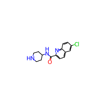 O=C(NC1CCNCC1)c1ccc2cc(Cl)ccc2n1